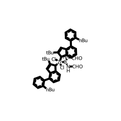 CCCCc1ccccc1-c1cccc2c1C=C(C(C)(C)C)[CH]2[Zr]([Cl])([Cl])([B](NC=O)NC=O)[CH]1C(C(C)(C)C)=Cc2c(-c3ccccc3CCCC)cccc21